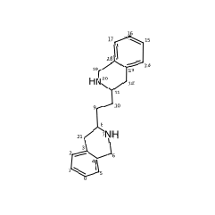 c1ccc2c(c1)CNC(CCC1Cc3ccccc3CN1)C2